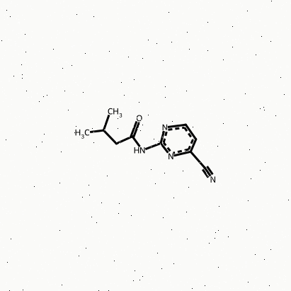 CC(C)CC(=O)Nc1nccc(C#N)n1